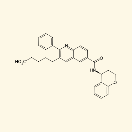 O=C(O)CCCCc1cc2cc(C(=O)N[C@H]3CCOc4ccccc43)ccc2nc1-c1ccccc1